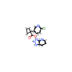 O=C(On1nnc2cccnc21)C1(c2ccc(Cl)nc2)CCC1